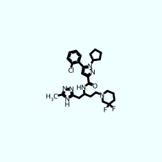 Cc1nnc(CC(CCN2CCCC(F)(F)C2)NC(=O)c2cc(-c3ccccc3Cl)n(C3CCCC3)n2)[nH]1